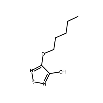 CCCCCOc1nsnc1O